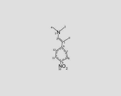 CC(=CN(C)C)c1ccc([N+](=O)[O-])cc1